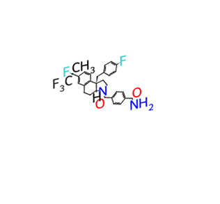 CC(F)(c1ccc2c(c1)CC[C@H]1N(C(=O)c3ccc(C(N)=O)cc3)CC[C@@]21Cc1ccc(F)cc1)C(F)(F)F